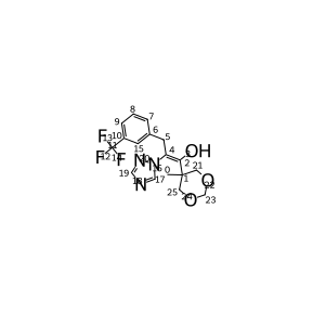 CC1(/C(O)=C(/Cc2cccc(C(F)(F)F)c2)n2cncn2)COCOC1